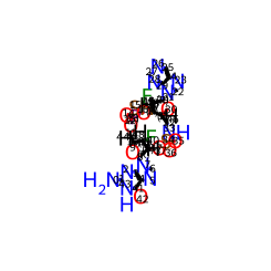 Nc1nc2c(ncn2[C@@H]2O[C@@H]3CO[P@](=O)(S)O[C@H]4[C@@H](F)[C@H](n5cnc6cncnc65)O[C@@H]4CNS(=O)(=O)O[C@@H]2[C@@H]3F)c(=O)[nH]1